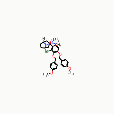 COc1ccc(COc2ccc(C(=O)N3[C@@H]4CC[C@H]3C[C@@H](N(C)C)C4)c(Cl)c2OCc2ccc(OC)cc2)cc1